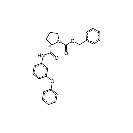 O=C(Nc1cccc(Oc2ccccc2)c1)[C@@H]1CCCN1C(=O)OCc1ccccc1